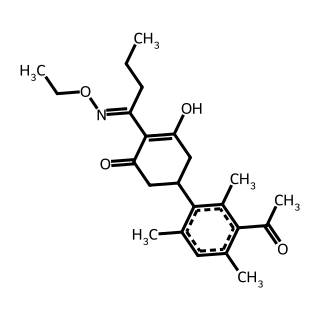 CCCC(=NOCC)C1=C(O)CC(c2c(C)cc(C)c(C(C)=O)c2C)CC1=O